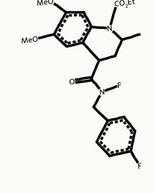 CCOC(=O)N1c2cc(OC)c(OC)cc2C(C(=O)N(F)Cc2ccc(F)cc2)CC1C